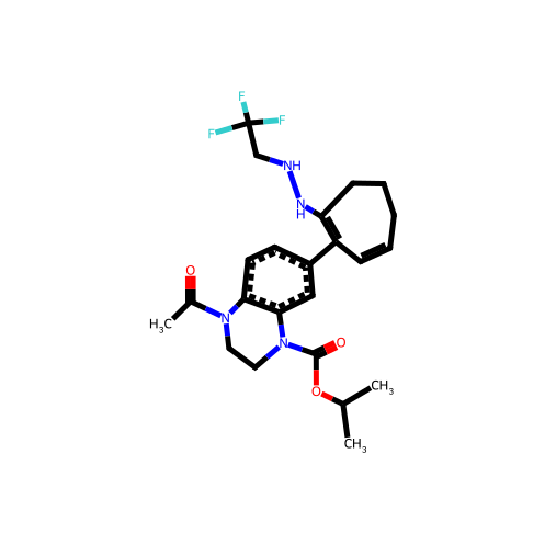 CC(=O)N1CCN(C(=O)OC(C)C)c2cc(C3=C(NNCC(F)(F)F)CCCC=C3)ccc21